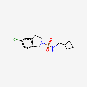 O=S(=O)(NCC1CCC1)N1CCc2cc(Cl)ccc2C1